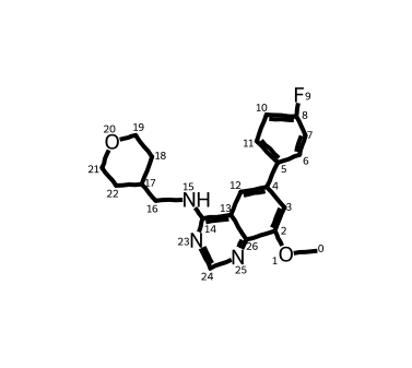 COc1cc(-c2ccc(F)cc2)cc2c(NCC3CCOCC3)ncnc12